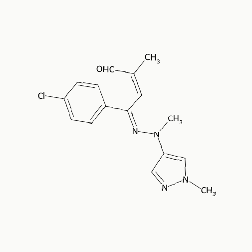 C/C(C=O)=C/C(=N\N(C)c1cnn(C)c1)c1ccc(Cl)cc1